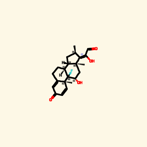 C[C@@H]1C[C@H]2[C@@H]3CCC4=CC(=O)C=C[C@]4(C)[C@@]3(F)[C@@H](O)C[C@]2(C)/C1=C(\O)C=O